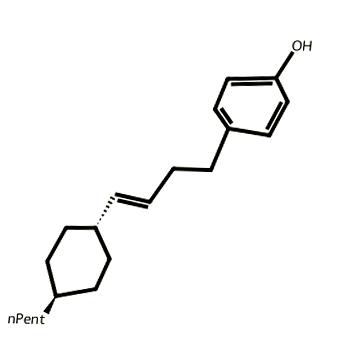 CCCCC[C@H]1CC[C@H](C=CCCc2ccc(O)cc2)CC1